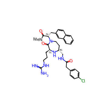 CNC(=O)[C@H](Cc1ccc2ccccc2c1)N1CC[C@H](CNC(=O)Cc2ccc(Cl)cc2)N[C@@H](CCCNC(=N)N)C1=O